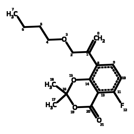 C=C(COCCCC)c1ccc(F)c2c1OC(C)(C)OC2=O